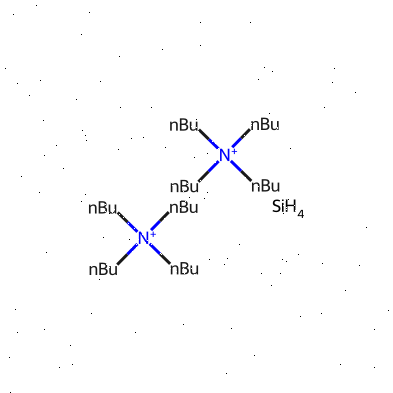 CCCC[N+](CCCC)(CCCC)CCCC.CCCC[N+](CCCC)(CCCC)CCCC.[SiH4]